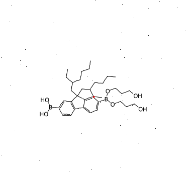 CCCCC(CC)CC1(CC(CC)CCCC)c2cc(B(O)O)ccc2-c2ccc(B(OCCCO)OCCCO)cc21